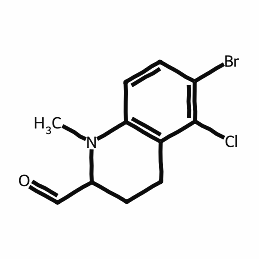 CN1c2ccc(Br)c(Cl)c2CCC1C=O